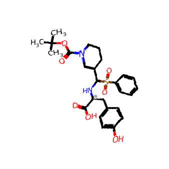 CC(C)(C)OC(=O)N1CCCC(C(N[C@@H](Cc2ccc(O)cc2)C(=O)O)S(=O)(=O)c2ccccc2)C1